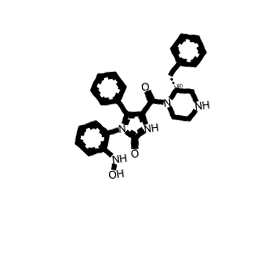 O=C(c1[nH]c(=O)n(-c2ccccc2NO)c1-c1ccccc1)N1CCNC[C@H]1Cc1ccccc1